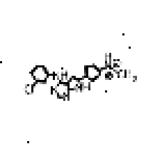 CS(=O)(=O)Nc1ccc(-c2cc3c(Nc4cccc(Cl)c4)ncnc3[nH]2)cc1